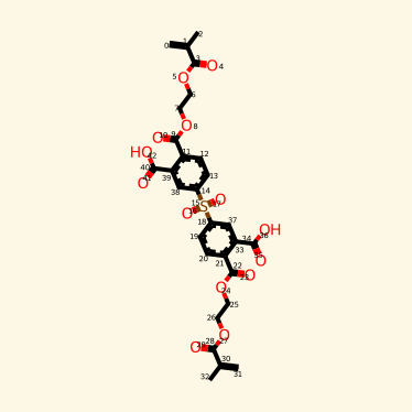 C=C(C)C(=O)OCCOC(=O)c1ccc(S(=O)(=O)c2ccc(C(=O)OCCOC(=O)C(=C)C)c(C(=O)O)c2)cc1C(=O)O